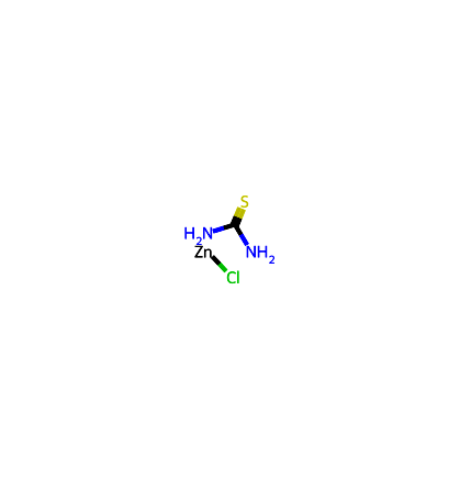 NC(N)=S.[Cl][Zn]